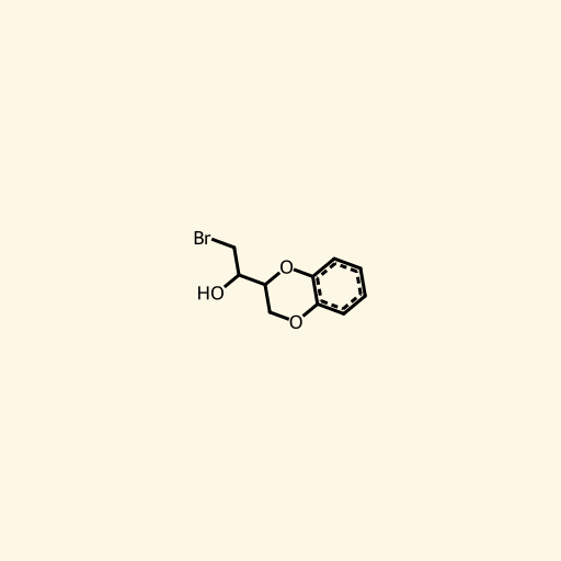 OC(CBr)C1COc2ccccc2O1